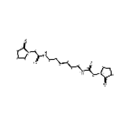 O=C(CN1CCCC1=O)NCCCCCCNC(=O)CN1CCCC1=O